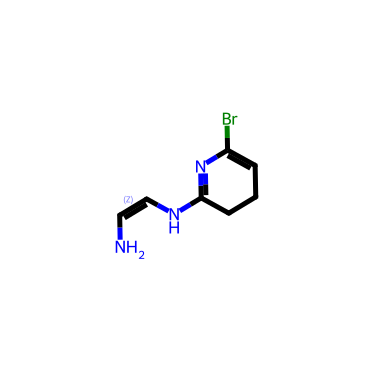 N/C=C\NC1=NC(Br)=CCC1